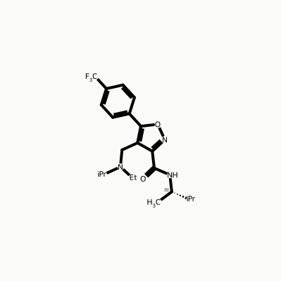 CCN(Cc1c(C(=O)N[C@@H](C)C(C)C)noc1-c1ccc(C(F)(F)F)cc1)C(C)C